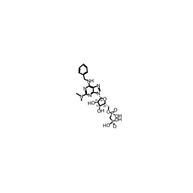 CN(C)c1nc(NCc2ccccc2)c2ncn([C@@H]3O[C@H](COP(=O)(O)CP(=O)(O)O)[C@@H](O)[C@H]3O)c2n1